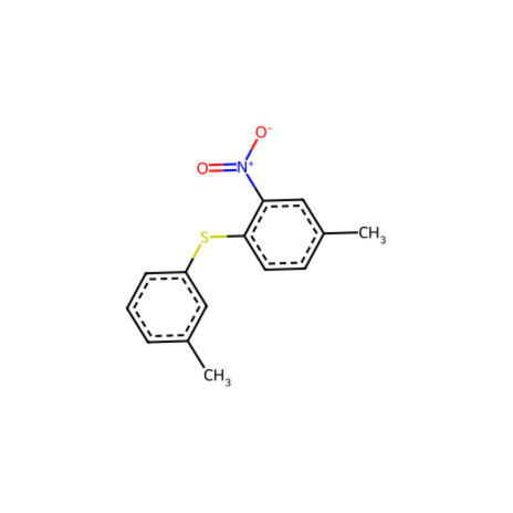 Cc1cccc(Sc2ccc(C)cc2[N+](=O)[O-])c1